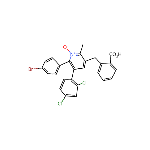 Cc1c(Cc2ccccc2C(=O)O)cc(-c2ccc(Cl)cc2Cl)c(-c2ccc(Br)cc2)[n+]1[O-]